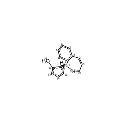 C1=Cc2ccccc2NN=C1.Oc1ncc[nH]1